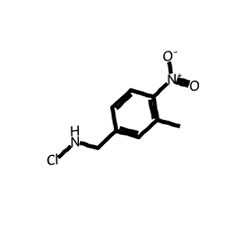 Cc1cc(CNCl)ccc1[N+](=O)[O-]